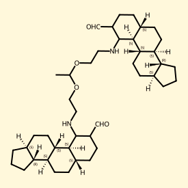 CC(OCCNC1C(C=O)CC[C@@H]2CC[C@H]3[C@@H]4CCC[C@H]4CC[C@@H]3[C@@H]12)OCCNC1C(C=O)CC[C@@H]2CC[C@H]3[C@@H]4CCC[C@H]4CC[C@@H]3[C@@H]12